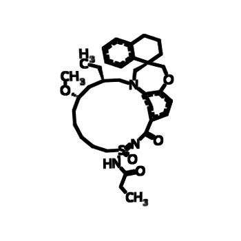 CCC(=O)N[S@@]1(=O)=NC(=O)c2ccc3c(c2)N(C[C@H](CC)C[C@@H](OC)CCCCC1)C[C@@]1(CCCc2ccccc21)CO3